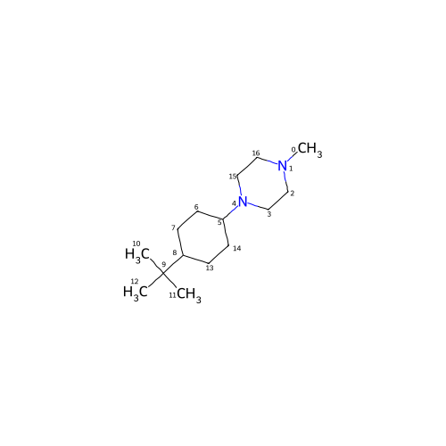 CN1CCN(C2CCC(C(C)(C)C)CC2)CC1